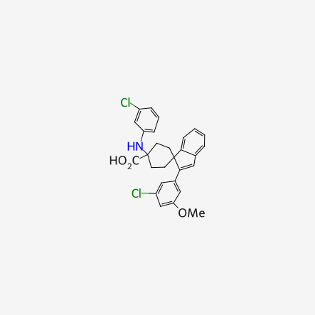 COc1cc(Cl)cc(C2=Cc3ccccc3C23CCC(Nc2cccc(Cl)c2)(C(=O)O)CC3)c1